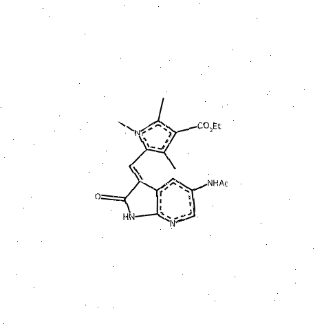 CCOC(=O)c1c(C)c(C=C2C(=O)Nc3ncc(NC(C)=O)cc32)n(C)c1C